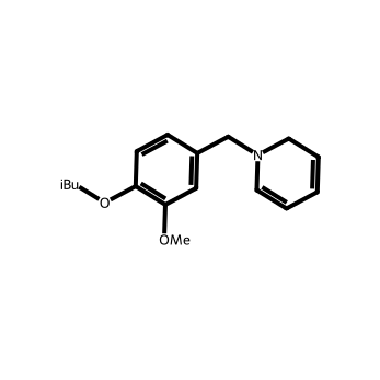 CCC(C)Oc1ccc(CN2C=CC=CC2)cc1OC